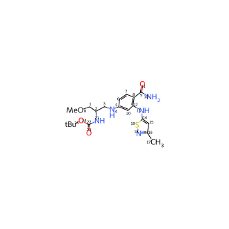 COCC(CNc1ccc(C(N)=O)c(Nc2cc(C)ns2)c1)NC(=O)OC(C)(C)C